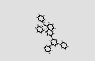 c1ccc(-c2cc(-c3ccccc3)nc(-c3cc4c5c(cccc5c3)N(c3ccccc3)c3cnccc3-4)n2)cc1